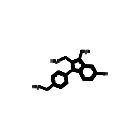 CCOC(=O)c1c(CC(=O)O)n(-c2ccc(CC(=O)O)cc2)c2ccc(O)cc12